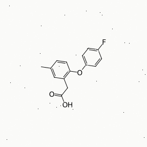 Cc1ccc(Oc2ccc(F)cc2)c(CC(=O)O)c1